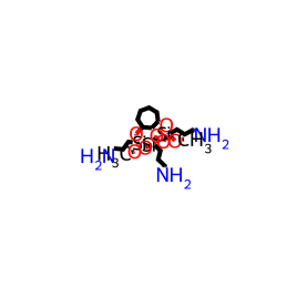 CO[Si]1(CCCN)OC2CCCCC3O[Si](CCCN)(OC)O[Si](CCCN)(OC23)O1